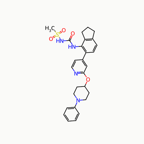 CS(=O)(=O)NC(=O)Nc1c(-c2ccnc(OC3CCN(c4ccccc4)CC3)c2)ccc2c1CCC2